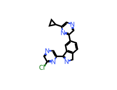 Clc1cncc(C2=NCc3ccc(-c4cncc(C5CC5)n4)cc32)n1